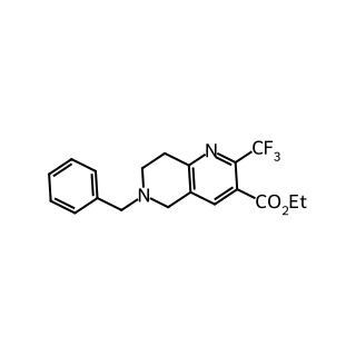 CCOC(=O)c1cc2c(nc1C(F)(F)F)CCN(Cc1ccccc1)C2